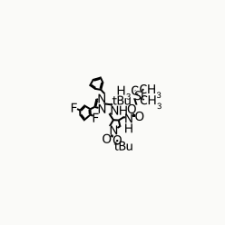 CC(C)(C)OC(=O)N1CC(CNC(=O)OCC[Si](C)(C)C)C(CNC(c2nc(-c3cc(F)ccc3F)cn2Cc2ccccc2)C(C)(C)C)C1